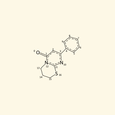 O=c1cc(-c2ccccc2)nc2n1CCCS2